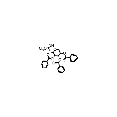 N=C(OC1OC[C@@H](OC(=O)c2ccccc2)[C@H](OC(=O)c2ccccc2)[C@H]1OC(=O)c1ccccc1)C(Cl)(Cl)Cl